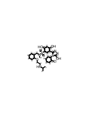 CC(C)NCCOc1ccccc1CN(C)S(=O)(=O)c1cc(-c2nnc(O)n2-c2ccccc2Cl)c(O)cc1O